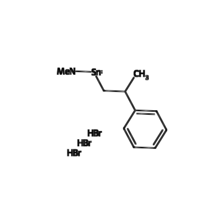 Br.Br.Br.C[NH][Sn][CH2]C(C)c1ccccc1